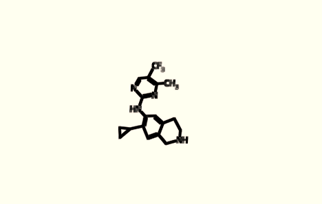 Cc1nc(Nc2cc3c(cc2C2CC2)CNCC3)ncc1C(F)(F)F